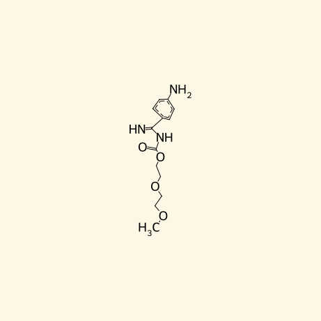 COCCOCCOC(=O)NC(=N)c1ccc(N)cc1